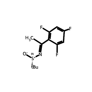 CC(=N[S@@+]([O-])C(C)(C)C)c1c(F)cc(F)cc1F